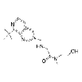 CN(CCO)C(=O)CNCc1cnc2c(C(C)(C)C)nccc2c1